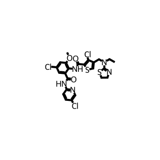 CCN(Cc1csc(C(=O)Nc2c(OC)cc(Cl)cc2C(=O)Nc2ccc(Cl)cn2)c1Cl)C1=NCCS1